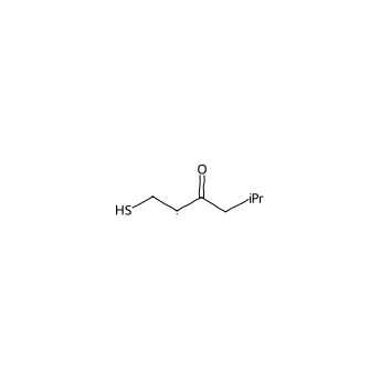 CC(C)CC(=O)[CH]CS